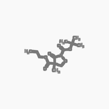 C=CCOC(=O)C1(C)CON(C(=O)OC(C)(C)C)C1=O